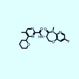 Cc1cnc(C(=O)N[C@H]2COc3cc(F)cnc3N(C)C2=O)nc1C1CCCCO1